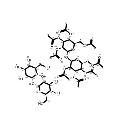 CC(=O)OC[C@H]1O[C@H](O[C@H]2O[C@H](COC(C)=O)[C@@H](OC(C)=O)[C@H](OC(C)=O)[C@H]2OC(C)=O)[C@H](OC(C)=O)[C@@H](OC(C)=O)[C@@H]1OC(C)=O.OC[C@H]1O[C@H](O[C@H]2O[C@H](CO)[C@@H](O)[C@H](O)[C@H]2O)[C@H](O)[C@@H](O)[C@@H]1O